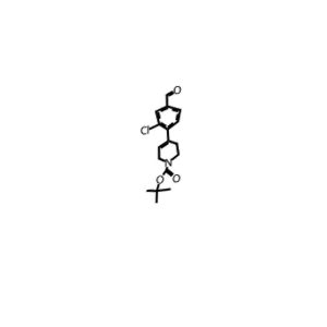 CC(C)(C)OC(=O)N1CC=C(c2ccc(C=O)cc2Cl)CC1